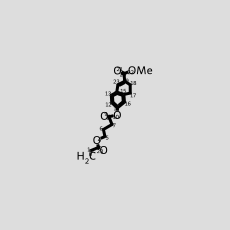 C=CC(=O)OCCCC(=O)Oc1ccc2c(c1)CCC(C(=O)OC)=C2